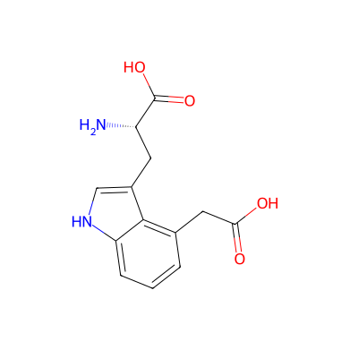 N[C@@H](Cc1c[nH]c2cccc(CC(=O)O)c12)C(=O)O